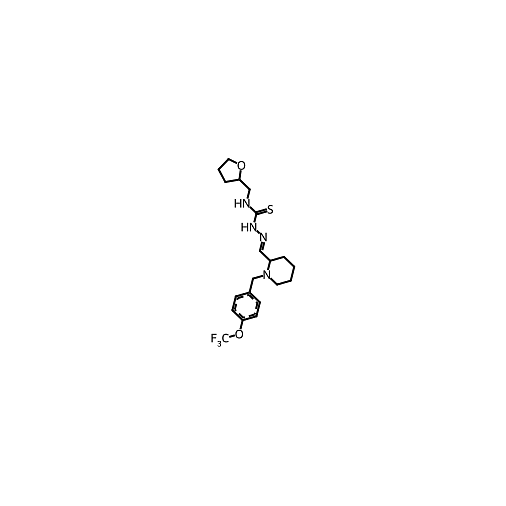 FC(F)(F)Oc1ccc(CN2CCCCC2C=NNC(=S)NCC2CCCO2)cc1